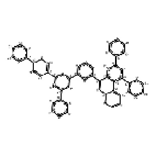 C1=CCC2C=C(c3cccc(-c4cc(C5=CCC(c6ccccc6)C=C5)nc(-c5ccccc5)c4)c3)c3nc(-c4ccccc4)cc(-c4ccccc4)c3C2=C1